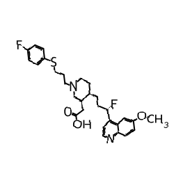 COc1ccc2nccc([C@@H](F)CC[C@@H]3CCN(CCCSc4ccc(F)cc4)C[C@@H]3CC(=O)O)c2c1